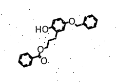 O=C(OCCCc1cc(OCc2ccccc2)ccc1O)c1ccccc1